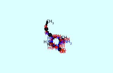 CCCCCOc1ccc(-c2cc(-c3ccc(C(=O)N[C@H]4C[C@@H](O)[C@@H](O)NC(=O)C[C@@H](O)[C@@H](C(=O)N5C[C@H](C)[C@H](O)[C@H]5C(N)=O)NC(=O)[C@H](C(O)C(O)c5ccc(O)c(OS(=O)(=O)[O-])c5)NC(=O)[C@@H]5C[C@@H](O)CN5C(=O)[C@H](C(C)O)NC4=O)cc3)no2)cc1.[Na+]